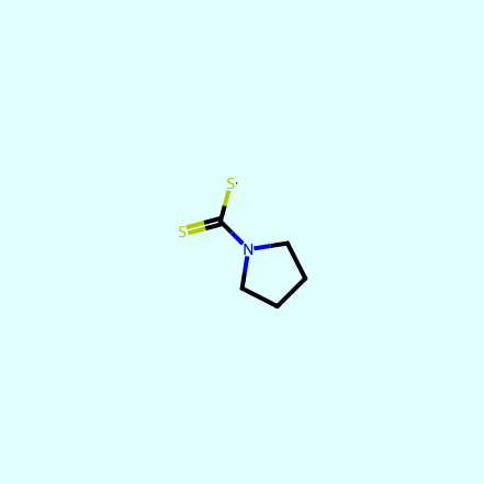 [S]C(=S)N1CCCC1